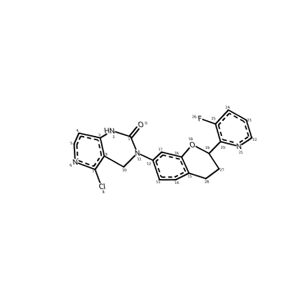 O=C1Nc2ccnc(Cl)c2CN1c1ccc2c(c1)OC(c1ncccc1F)CC2